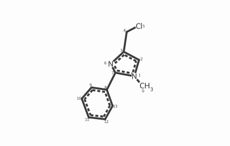 Cn1cc(CCl)nc1-c1ccccc1